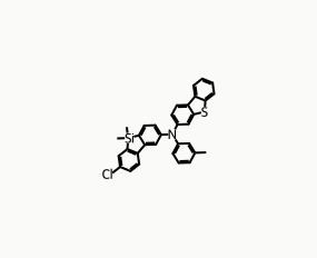 Cc1cccc(N(c2ccc3c(c2)-c2ccc(Cl)cc2[Si]3(C)C)c2ccc3c(c2)sc2ccccc23)c1